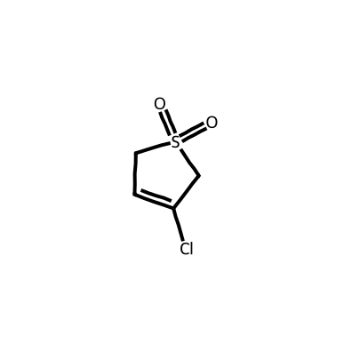 O=S1(=O)CC=C(Cl)C1